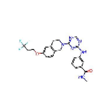 CNC(=O)c1cccc(Nc2ncnc(N3CCc4cc(OCCC(F)(F)F)ccc4C3)n2)c1